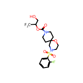 O=C(OC(CO)C(F)(F)F)N1CCC2(CC1)CN(S(=O)(=O)c1ccccc1F)CCO2